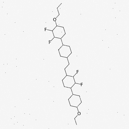 CCCOC1CCC(C2CCC(CCC3CCC(C4CCC(OCC)CC4)C(F)C3F)CC2)C(F)C1F